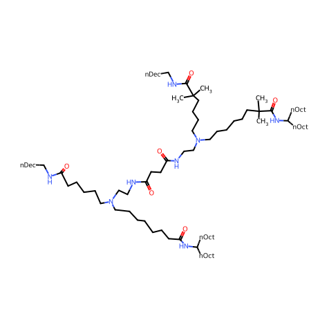 CCCCCCCCCCCNC(=O)CCCCCN(CCCCCCCC(=O)NC(CCCCCCCC)CCCCCCCC)CCNC(=O)CCC(=O)NCCN(CCCCCCC(C)(C)C(=O)NC(CCCCCCCC)CCCCCCCC)CCCCC(C)(C)C(=O)NCCCCCCCCCCC